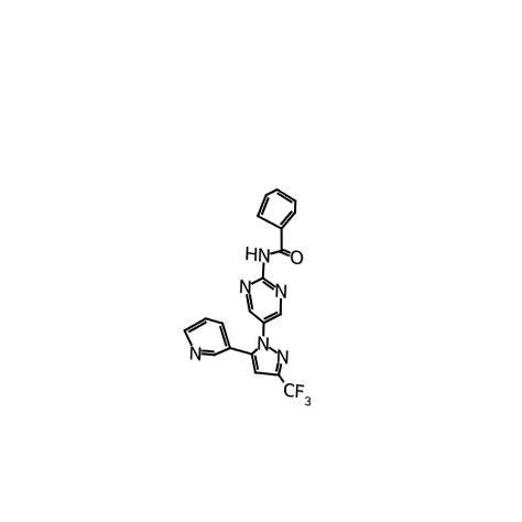 O=C(Nc1ncc(-n2nc(C(F)(F)F)cc2-c2cccnc2)cn1)c1ccccc1